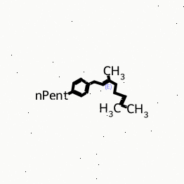 CCCCCc1ccc(C/C=C(\C)CCC=C(C)C)cc1